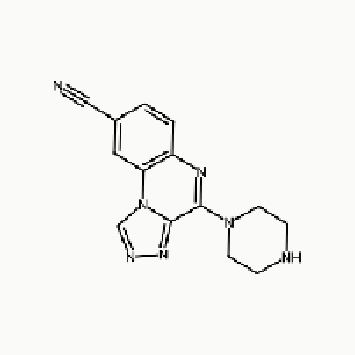 N#Cc1ccc2nc(N3CCNCC3)c3nncn3c2c1